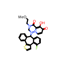 COCCN1CN(C2c3ccccc3-c3sccc3-c3c(F)cccc32)n2ccc(=O)c(O)c2C1=O